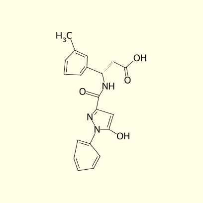 Cc1cccc([C@H](CC(=O)O)NC(=O)c2cc(O)n(-c3ccccc3)n2)c1